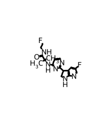 CC(C)(Nc1ccnc(C2CNc3ncc(F)cc32)n1)C(=O)NCCF